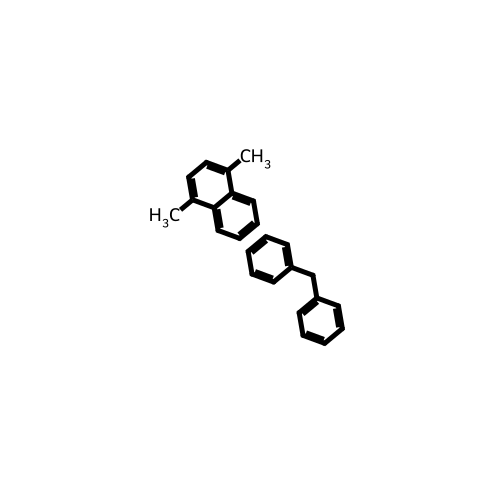 Cc1ccc(C)c2ccccc12.c1ccc(Cc2ccccc2)cc1